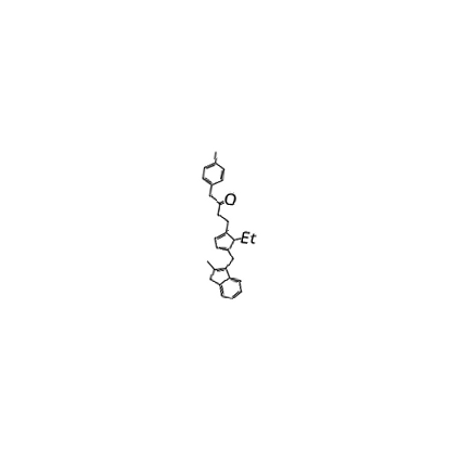 CCC1C(CCC(=O)Cc2ccc(C)cc2)=CC=C1CC1=C(C)Cc2ccccc21